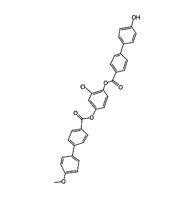 COc1ccc(-c2ccc(C(=O)Oc3ccc(OC(=O)c4ccc(-c5ccc(O)cc5)cc4)c(Cl)c3)cc2)cc1